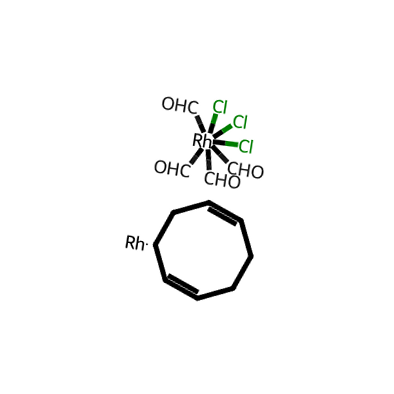 C1=CCCC=CCC1.O=[CH][Rh]([Cl])([Cl])([Cl])([CH]=O)([CH]=O)[CH]=O.[Rh]